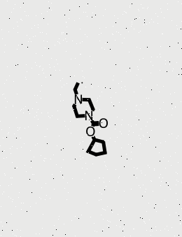 [CH2]CN1CCN(C(=O)OC2CCCC2)CC1